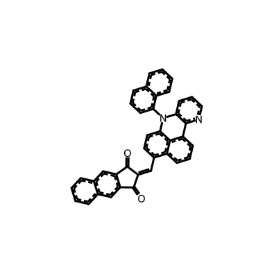 O=C1C(=Cc2ccc3c4c(cccc24)-c2ncccc2N3c2cccc3ccccc23)C(=O)c2cc3ccccc3cc21